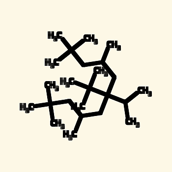 C[C](C)C(CC(C)CC(C)(C)C)(CC(C)CC(C)(C)C)C(C)(C)C